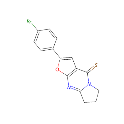 S=c1c2cc(-c3ccc(Br)cc3)oc2nc2n1CCC2